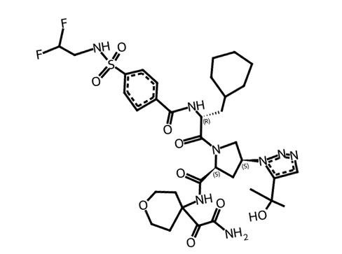 CC(C)(O)c1cnnn1[C@H]1C[C@@H](C(=O)NC2(C(=O)C(N)=O)CCOCC2)N(C(=O)[C@@H](CC2CCCCC2)NC(=O)c2ccc(S(=O)(=O)NCC(F)F)cc2)C1